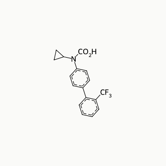 O=C(O)N(c1ccc(-c2ccccc2C(F)(F)F)cc1)C1CC1